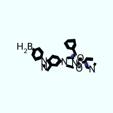 Bc1ccc(-n2ncc3cc(N4CCN(S(=O)(=O)/C(C=C)=C/N(C)C)/C(=C/c5ccccc5)C4)ccc32)cc1